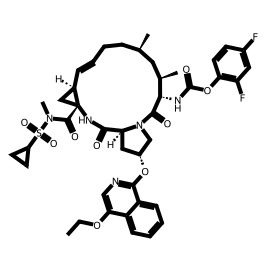 CCOc1cnc(O[C@@H]2C[C@H]3C(=O)N[C@]4(C(=O)N(C)S(=O)(=O)C5CC5)C[C@H]4/C=C/CC[C@@H](C)C[C@@H](C)[C@H](NC(=O)Oc4ccc(F)cc4F)C(=O)N3C2)c2ccccc12